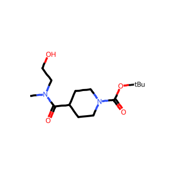 CN(CCO)C(=O)C1CCN(C(=O)OC(C)(C)C)CC1